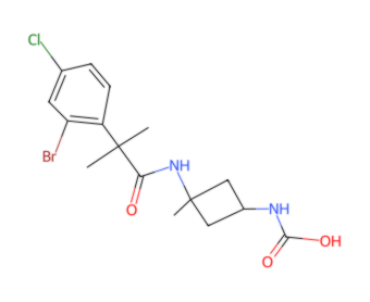 CC1(NC(=O)C(C)(C)c2ccc(Cl)cc2Br)CC(NC(=O)O)C1